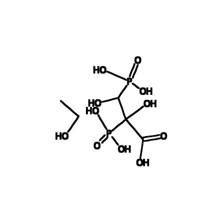 CCO.O=C(O)C(O)(C(O)P(=O)(O)O)P(=O)(O)O